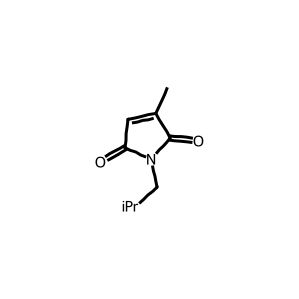 CC1=CC(=O)N(CC(C)C)C1=O